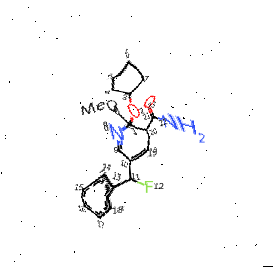 COC1(OC2CCCC2)N=CC(C(F)c2ccccc2)=CC1C(N)=O